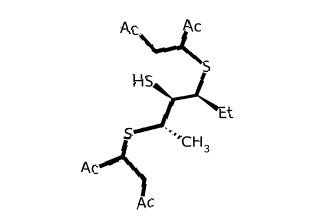 CC[C@H](SC(CC(C)=O)C(C)=O)[C@H](S)[C@H](C)SC(CC(C)=O)C(C)=O